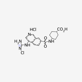 Cl.N/C(=N/Cl)Nc1cncc2cc(S(=O)(=O)NC3CCC(C(=O)O)CC3)ccc12